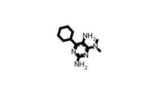 CN(C)c1nc(N)nc(C2CCCCC2)c1N